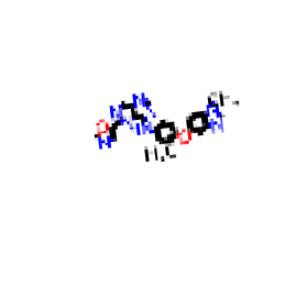 Cc1cc(Nc2ncnc3cnc(-c4cnco4)nc23)ccc1Oc1ccc2c(c1)ncn2C